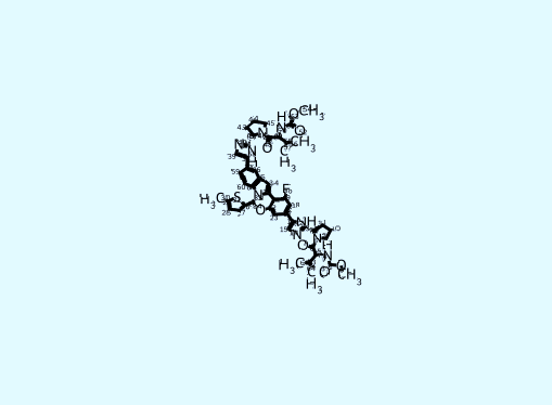 COC(=O)N[C@H](C(=O)N1CCC[C@H]1c1ncc(-c2cc(F)c3c(c2)OC(c2ccc(C)s2)n2c-3cc3cc(-c4cnc([C@@H]5CCCN5C(=O)[C@@H](NC(=O)OC)C(C)C)[nH]4)ccc32)[nH]1)C(C)C